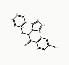 O=C(c1ccc(Cl)cc1)C(Cc1ccccc1)n1ccnc1